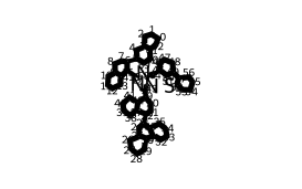 c1ccc2cc(-c3ccc4ccccc4c3-c3nc(-c4ccc(-c5cc6ccccc6c6ccccc56)c5ccccc45)nc(-c4cccc5c4sc4ccccc45)n3)ccc2c1